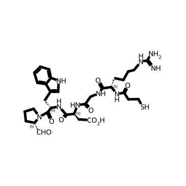 N=C(N)NCCCC[C@H](NC(=O)CCS)C(=O)NCC(=O)N[C@@H](CC(=O)O)C(=O)N[C@@H](Cc1c[nH]c2ccccc12)C(=O)N1CCC[C@H]1[C]=O